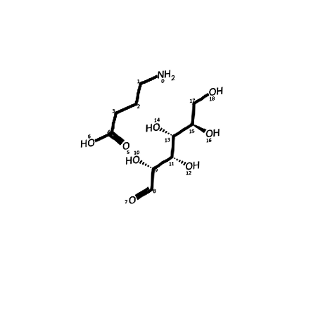 NCCCC(=O)O.O=C[C@H](O)[C@@H](O)[C@H](O)[C@H](O)CO